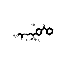 Br.C=CC(=O)OCCC(c1ccc(C(=O)c2ccccc2)cc1)N(C)C